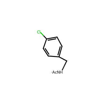 CC(=O)[N]Cc1ccc(Cl)cc1